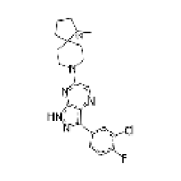 C[C@@H]1CCCC12CCN(c1cnc3c(-c4ccc(F)c(Cl)c4)n[nH]c3n1)CC2